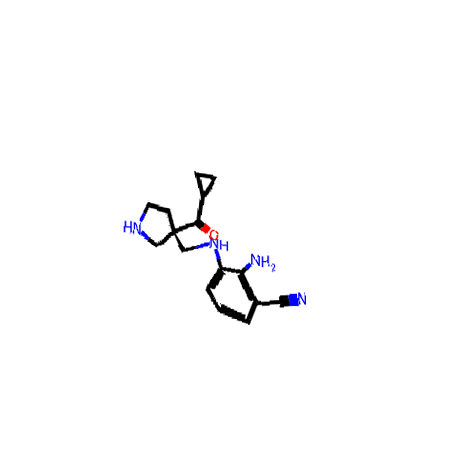 N#Cc1cccc(NC[C@]2(C(=O)C3CC3)CCNC2)c1N